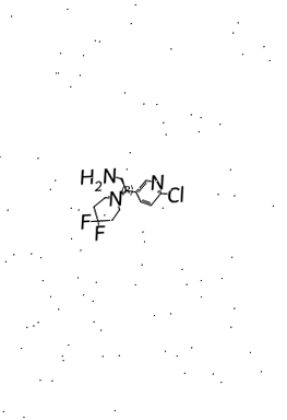 NC[C@@H](c1ccc(Cl)nc1)N1CCC(F)(F)CC1